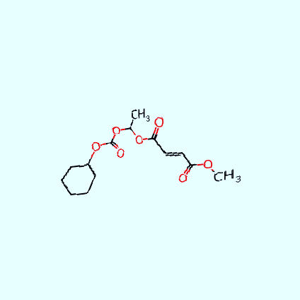 COC(=O)/C=C/C(=O)OC(C)OC(=O)OC1CCCCC1